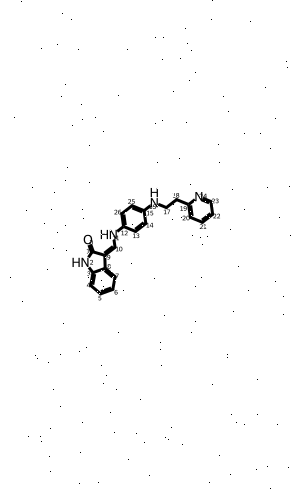 O=C1Nc2ccccc2C1=CNc1ccc(NCCc2ccccn2)cc1